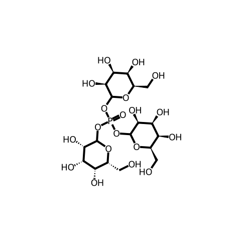 O=P(OC1O[C@H](CO)[C@H](O)[C@H](O)[C@@H]1O)(OC1O[C@H](CO)[C@H](O)[C@H](O)[C@@H]1O)OC1O[C@H](CO)[C@H](O)[C@H](O)[C@@H]1O